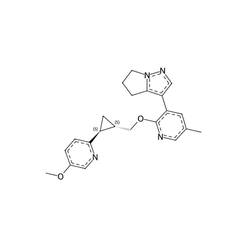 COc1ccc([C@H]2C[C@@H]2COc2ncc(C)cc2-c2cnn3c2CCC3)nc1